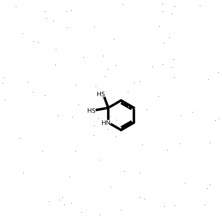 SC1(S)C=CC=CN1